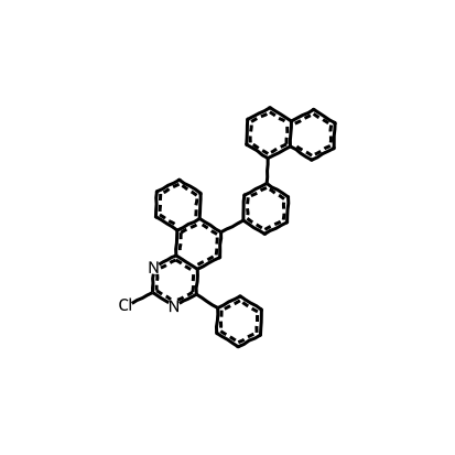 Clc1nc(-c2ccccc2)c2cc(-c3cccc(-c4cccc5ccccc45)c3)c3ccccc3c2n1